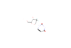 O=c1ccn([C@@H]2OC(CO)[C@@H](O)C2(F)F)c(=O)[nH]1